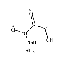 O=C(CO)OCl.[AlH3].[NaH]